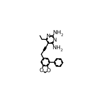 CCc1nc(N)nc(N)c1C#CCc1cc2c(c(-c3ccccc3)c1)OCO2